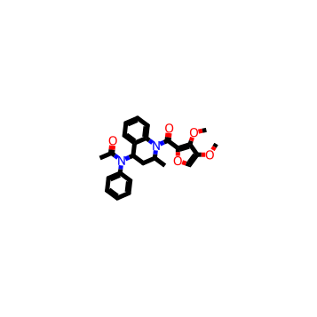 COc1coc(C(=O)N2c3ccccc3C(N(C(C)=O)c3ccccc3)CC2C)c1OC